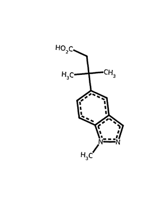 Cn1ncc2cc(C(C)(C)CC(=O)O)ccc21